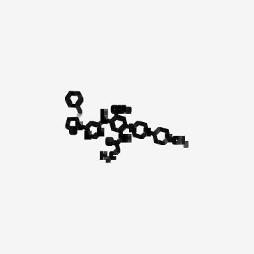 C=CC(=O)Nc1cc(Nc2cc(N3OCC[C@@H]3Cc3ccccc3)ncn2)c(OC)cc1N1CCN(C2CCN(C)CC2)CC1